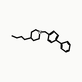 CCCCC1CCN(Cc2ccc(-c3ccccc3)cc2)CC1